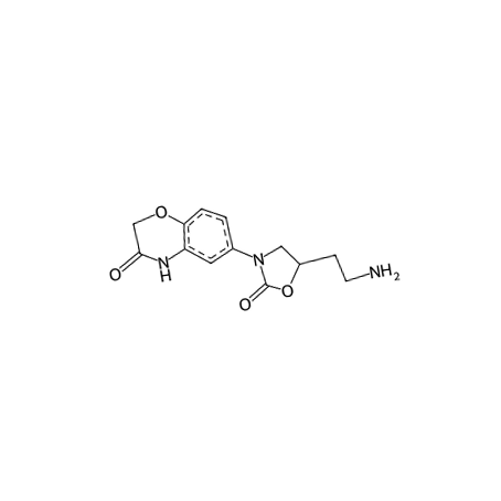 NCCC1CN(c2ccc3c(c2)NC(=O)CO3)C(=O)O1